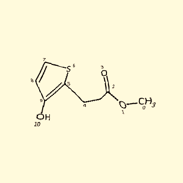 COC(=O)Cc1sccc1O